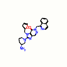 NC1CCCN(c2nc3cnn(Cc4nccc5ccccc45)c(=O)c3n2Cc2ccco2)C1